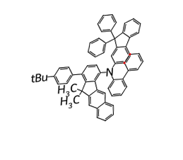 CC(C)(C)c1ccc(-c2ccc(N(c3ccc4c(c3)C(c3ccccc3)(c3ccccc3)c3ccccc3-4)c3ccccc3-c3ccccc3)c3c2C(C)(C)c2cc4ccccc4cc2-3)cc1